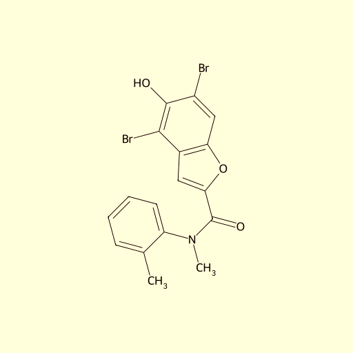 Cc1ccccc1N(C)C(=O)c1cc2c(Br)c(O)c(Br)cc2o1